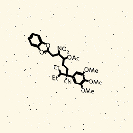 CCC(CC)C(C#N)(CCC(OC(C)=O)C(CC1Oc2ccccc2O1)[N+](=O)[O-])c1cc(OC)c(OC)c(OC)c1